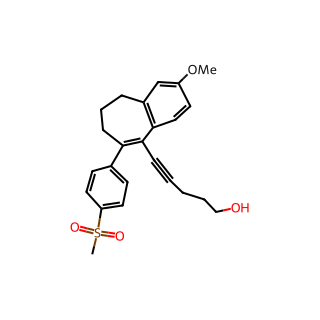 COc1ccc2c(c1)CCCC(c1ccc(S(C)(=O)=O)cc1)=C2C#CCCCO